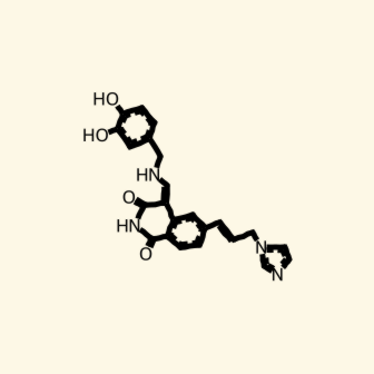 O=C1NC(=O)c2ccc(C=CCn3ccnc3)cc2C1=CNCc1ccc(O)c(O)c1